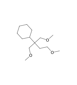 COCCC(COC)(COC)C1CCCCC1